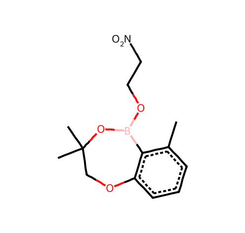 Cc1cccc2c1B(OCC[N+](=O)[O-])OC(C)(C)CO2